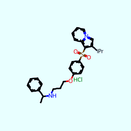 CC(C)c1cn2ccccc2c1S(=O)(=O)c1ccc(OCCCNC(C)c2ccccc2)cc1.Cl